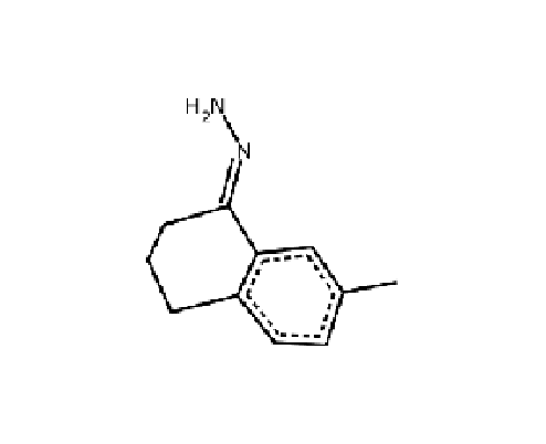 Cc1ccc2c(c1)C(=NN)CCC2